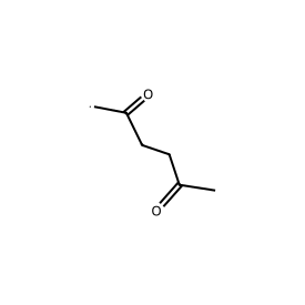 [CH2]C(=O)CCC(C)=O